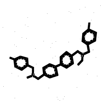 CCN(Cc1ccc(C)cc1)Cc1ccc(-c2ccc(CN(C)Cc3ccc(C)cc3)cc2)cc1